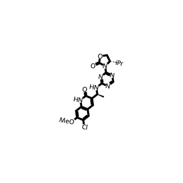 COc1cc2[nH]c(=O)c([C@H](C)Nc3ncnc(N4C(=O)OC[C@@H]4C(C)C)n3)cc2cc1Cl